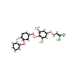 Fc1ccc(COc2c(Cl)cc(OCC=C(Br)Br)cc2Cl)cc1Oc1ccccc1